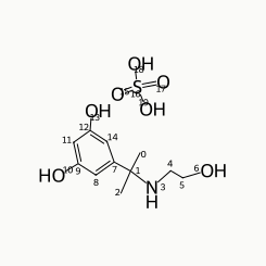 CC(C)(NCCO)c1cc(O)cc(O)c1.O=S(=O)(O)O